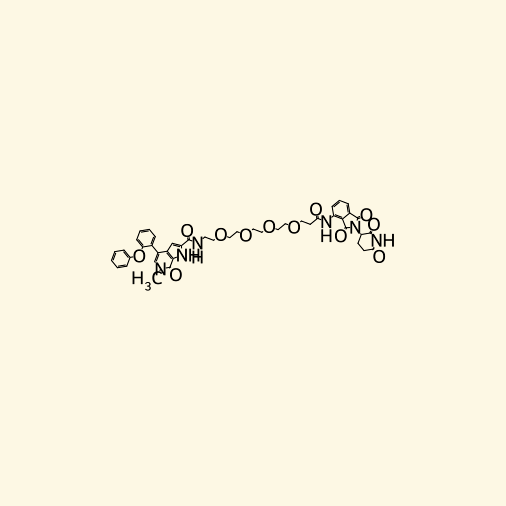 Cn1cc(-c2ccccc2Oc2ccccc2)c2cc(C(=O)NCCOCCOCCOCCOCCC(=O)Nc3cccc4c3C(=O)N(C3CCC(=O)NC3=O)C4=O)[nH]c2c1=O